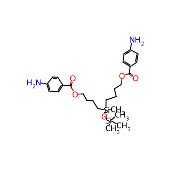 C[Si](C)(C)O[Si](C)(CCCCOC(=O)c1ccc(N)cc1)CCCCOC(=O)c1ccc(N)cc1